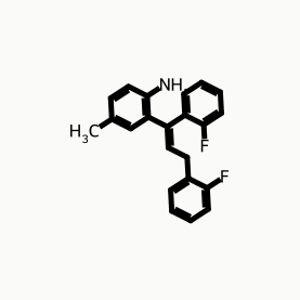 Cc1ccc(N)c(C(=CCc2ccccc2F)c2ccccc2F)c1